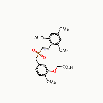 COc1cc(OC)c(/C=C/S(=O)(=O)Cc2ccc(OC)c(OCC(=O)O)c2)c(OC)c1